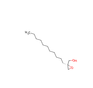 CCCCCCCCCCC[C@@]1(CO)CO1